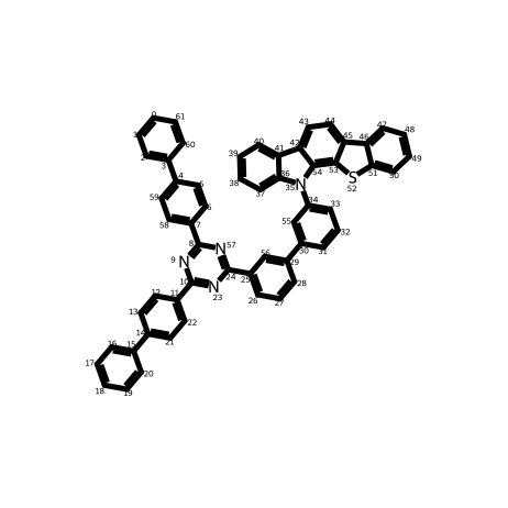 c1ccc(-c2ccc(-c3nc(-c4ccc(-c5ccccc5)cc4)nc(-c4cccc(-c5cccc(-n6c7ccccc7c7ccc8c9ccccc9sc8c76)c5)c4)n3)cc2)cc1